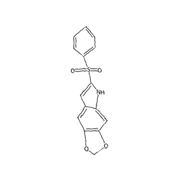 O=S(=O)(c1ccccc1)c1cc2cc3c(cc2[nH]1)OCO3